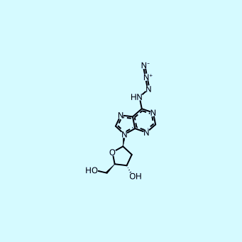 [N-]=[N+]=NNc1ncnc2c1ncn2[C@H]1C[C@H](O)[C@@H](CO)O1